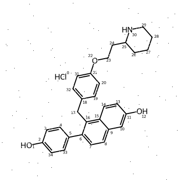 Cl.Oc1ccc(-c2ccc3cc(O)ccc3c2Cc2ccc(OCCC3CCCCN3)cc2)cc1